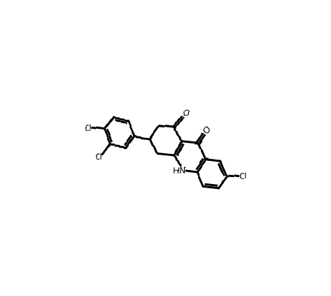 O=C1CC(c2ccc(Cl)c(Cl)c2)Cc2[nH]c3ccc(Cl)cc3c(=O)c21